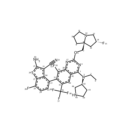 CCN(c1nc(OC[C@@]23CCCN2C[C@H](F)C3)nc2c(F)c(-c3ccc(F)c4sc(N)c(C#N)c34)c(C(F)(F)F)cc12)[C@H]1CCNC1